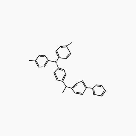 Cc1ccc(N(c2ccc(C)cc2)c2ccc(C(C)c3ccc(-c4ccccc4)cc3)cc2)cc1